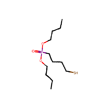 CCCCOP(=O)(CCCCS)OCCCC